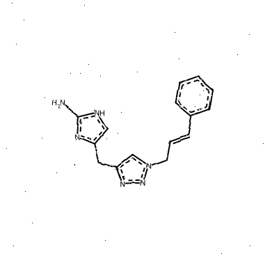 Nc1nc(Cc2cn(C/C=C/c3ccccc3)nn2)c[nH]1